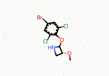 CO[C@@H]1CNC1Oc1c(Cl)cc(Br)cc1Cl